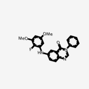 COc1cc(Nc2ccc3ncn(-c4ccccc4)c(=O)c3c2)c(F)c(OC)c1